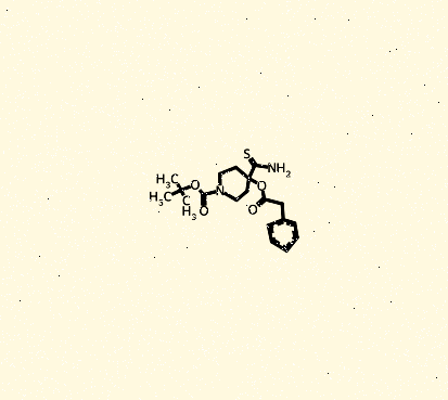 CC(C)(C)OC(=O)N1CCC(OC(=O)Cc2ccccc2)(C(N)=S)CC1